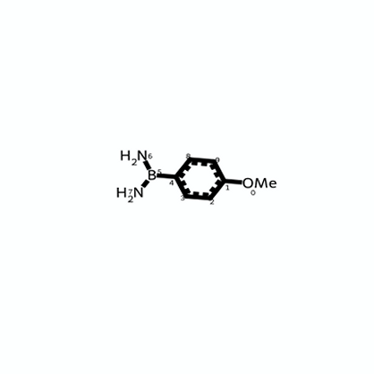 COc1ccc(B(N)N)cc1